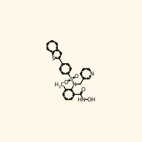 Cc1cccc(C(=O)NO)c1N(Cc1cccnc1)S(=O)(=O)c1ccc(-c2cc3ccccc3s2)cc1